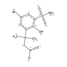 CC(C)(C[N+](=O)[O-])c1cc(Br)cc(S(N)(=O)=O)c1O